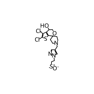 C[S+]([O-])CCn1cc(CN2CCC3(CC2)OCC(O)c2c3sc(Cl)c2Cl)cn1